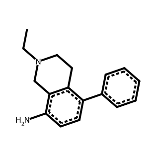 CCN1CCc2c(-c3ccccc3)ccc(N)c2C1